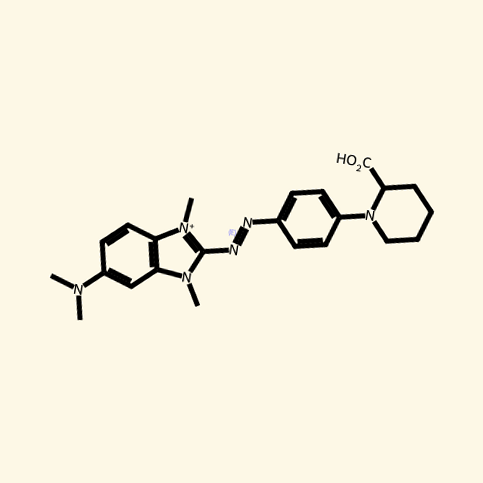 CN(C)c1ccc2c(c1)n(C)c(/N=N/c1ccc(N3CCCCC3C(=O)O)cc1)[n+]2C